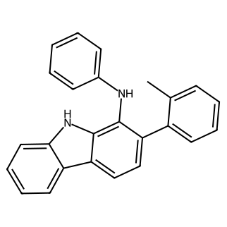 Cc1ccccc1-c1ccc2c([nH]c3ccccc32)c1Nc1ccccc1